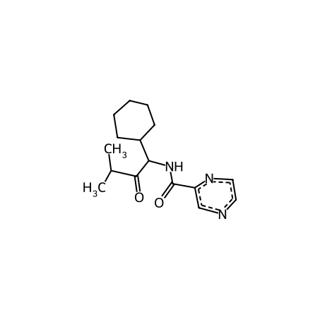 CC(C)C(=O)C(NC(=O)c1cnccn1)C1CCCCC1